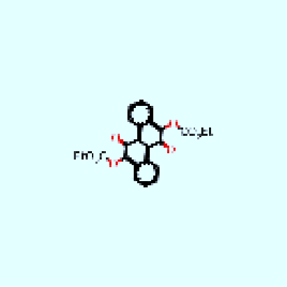 CCOC(=O)OC1=c2ccccc2=C2C(=O)C(OC(=O)OCC)=c3ccccc3=C2C1=O